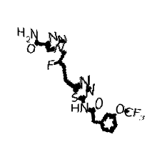 NC(=O)c1cn(CC(F)CCc2nnc(NC(=O)Cc3cccc(OC(F)(F)F)c3)s2)nn1